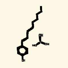 CCCCCCCCCc1ccc(O)cc1.OP(O)O